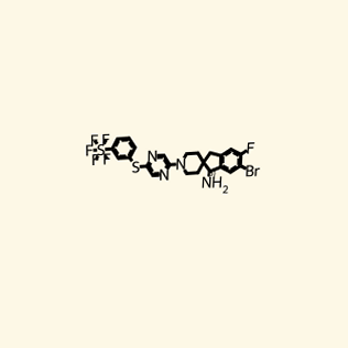 N[C@@H]1c2cc(Br)c(F)cc2CC12CCN(c1cnc(Sc3cccc(S(F)(F)(F)(F)F)c3)cn1)CC2